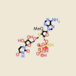 CO[C@@H]1[C@H](SCOC[C@H]2O[C@@H](n3ccc(=O)[nH]c3=O)[C@H](O)[C@@H]2O)[C@@H](COP(=O)(S)OP(=O)(O)OP(=O)(O)O)O[C@H]1n1cnc2c(N)ncnc21